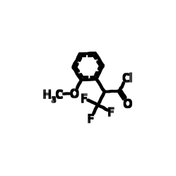 COc1ccccc1C(C(=O)Cl)C(F)(F)F